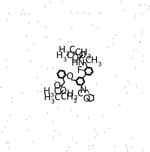 C[C@@H](NC(=O)OC(C)(C)C)c1cccc(-c2cc(COc3ccccc3CC(=O)OC(C)(C)C)cc(N(C)C[C@H]3CCCO3)c2)c1F